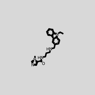 CCn1c2ccccc2c2cc(CNCCCNC(=O)c3cncn3C)ccc21